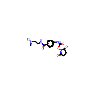 CCN(C)CCNC(=O)c1ccc(NC(=O)ON2C(=O)CCC2=O)cc1